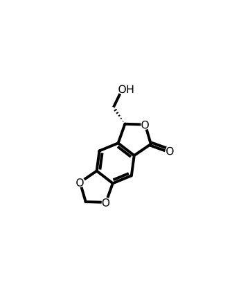 O=C1O[C@@H](CO)c2cc3c(cc21)OCO3